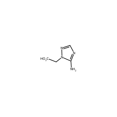 Nc1ncnn1CC(=O)O